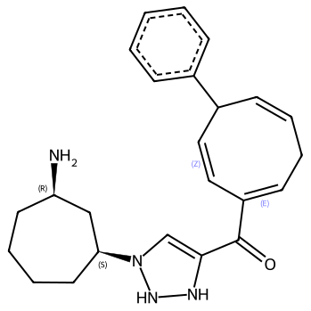 N[C@@H]1CCCC[C@H](N2C=C(C(=O)C3=C/CC=CC(c4ccccc4)/C=C\3)NN2)C1